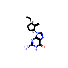 C=C1[C@H](CC)CC[C@@H]1n1cnc2c(=O)[nH]c(N)nc21